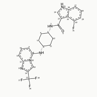 O=C(N[C@H]1CC[C@@H](Nc2cccc3nc(C(F)(F)F)cn23)CC1)c1c[nH]c2cccc(F)c12